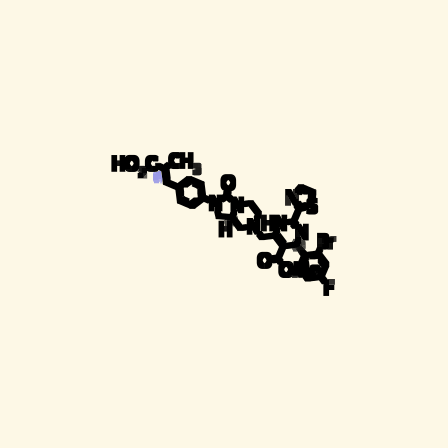 COC(=O)C1=C(CN2CCN3C(=O)N(c4ccc(/C=C(\C)C(=O)O)cc4)C[C@@H]3C2)NC(c2nccs2)=N[C@H]1c1ccc(F)cc1Br